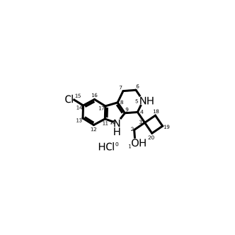 Cl.OCC1(C2NCCc3c2[nH]c2ccc(Cl)cc32)CCC1